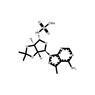 COS(=O)(=O)N[C@@H]1O[C@@H](n2nc(C)c3c(N)ncnc32)[C@@H]2OC(C)(C)O[C@H]21